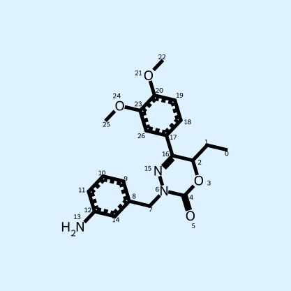 CCC1OC(=O)N(Cc2cccc(N)c2)N=C1c1ccc(OC)c(OC)c1